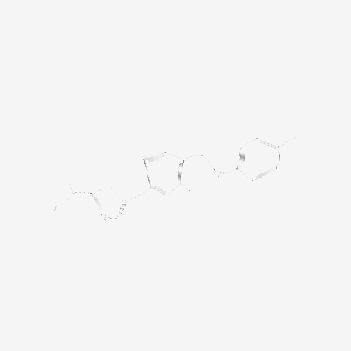 Fc1ccc(NCc2ccc(-c3nnc(C(F)F)o3)cc2F)cc1